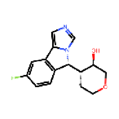 O[C@H]1COCC[C@@H]1[C@@H]1c2ccc(F)cc2-c2cncn21